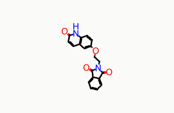 O=C1c2ccccc2C(=O)N1CCOc1ccc2[nH]c(=O)ccc2c1